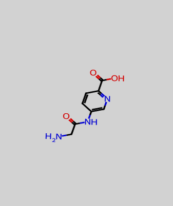 NCC(=O)Nc1ccc(C(=O)O)nc1